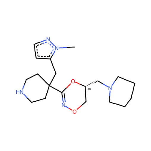 Cn1nccc1CC1(C2=NOC[C@@H](CN3CCCCC3)O2)CCNCC1